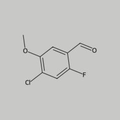 COc1cc(C=O)c(F)cc1Cl